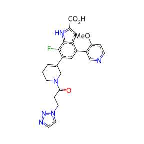 COc1ccncc1-c1cc(C2=CCCN(C(=O)CCn3ccnn3)C2)c(F)c2[nH]c(C(=O)O)cc12